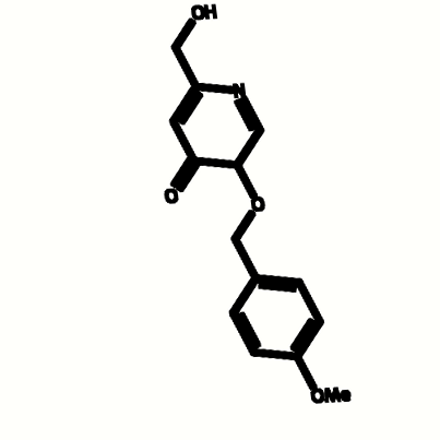 COc1ccc(COC2C=NC(CO)=CC2=O)cc1